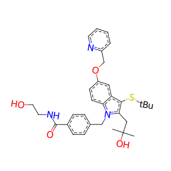 CC(C)(O)Cc1c(SC(C)(C)C)c2cc(OCc3ccccn3)ccc2n1Cc1ccc(C(=O)NCCO)cc1